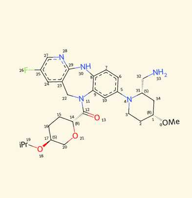 CO[C@@H]1CCN(c2ccc3c(c2)N(C(=O)[C@H]2CC[C@H](OC(C)C)CO2)Cc2cc(F)cnc2N3)[C@H](CN)C1